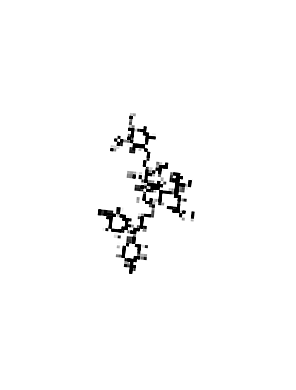 COc1ccc(CCN2C(=O)OC3(CCN(CCC=C(c4ccc(F)cc4)c4ccc(F)cc4)CC3)C2(C)O)cc1OC.O=C(O)C=CC(=O)O